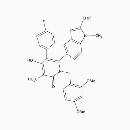 COc1ccc(Cn2c(-c3ccc4c(c3)cc(C=O)n4C)c(-c3ccc(F)cc3)c(O)c(C(=O)O)c2=O)c(OC)c1